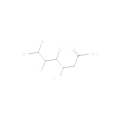 CCCCCCCCCC(=O)CC(C)C(C(C(C(C)C)[N+](=O)[O-])C(C)(C)C)[N+](=O)[O-]